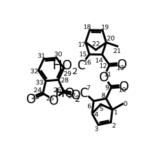 CC12C=CC(C1)C(C(=O)O)C2C(=O)OC(=O)C1C(C(=O)O)C2C=CC1(C)C2.O=C1OC(=O)c2ccccc21